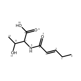 CCC=CC(=O)NC(C(=O)O)C(C)O